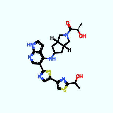 CC(O)c1nc(-c2cnc(-c3cnc4[nH]ccc4c3NC3C[C@@H]4CN(C(=O)[C@H](C)O)C[C@@H]4C3)s2)cs1